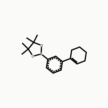 CC1(C)OB(c2cccc(C3=CCCCC3)c2)OC1(C)C